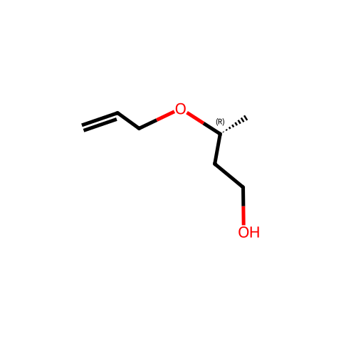 C=CCO[C@H](C)CCO